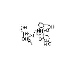 CN(C(=O)c1c(CO)cccc1NCC1=CC1(C)CN1C(O)C1CO)C1CCC(=O)NC1=O